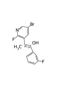 C[C@H](c1cc(Br)cnc1F)[C@H](O)c1cccc(F)c1